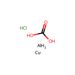 Cl.O=C(O)O.[AlH3].[Cu]